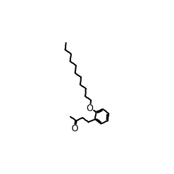 CCCCCCCCCCCOc1ccccc1CCC(C)=O